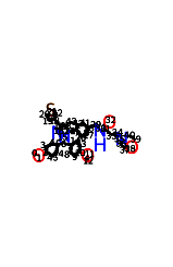 COc1ccc(C(c2ccc(OC)cc2)n2nc(-c3ccsc3)c3c2-c2ccc(CNC(=O)CCN4CCOCC4)cc2C3)cc1